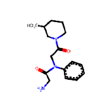 NCC(=O)N(CC(=O)N1CCCC(C(=O)O)C1)c1ccccc1